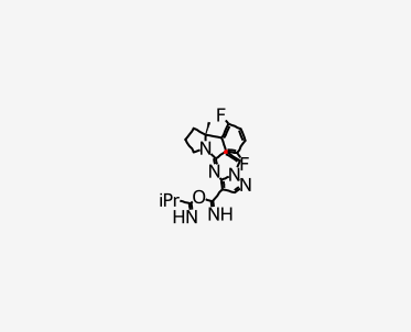 CC(C)C(=N)OC(=N)c1cnn2ccc(N3CCC[C@]3(C)c3cc(F)ccc3F)nc12